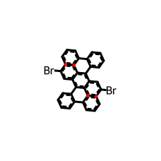 Brc1ccc2c(-c3ccccc3-c3ccccc3)c3cc(Br)ccc3c(-c3ccccc3-c3ccccc3)c2c1